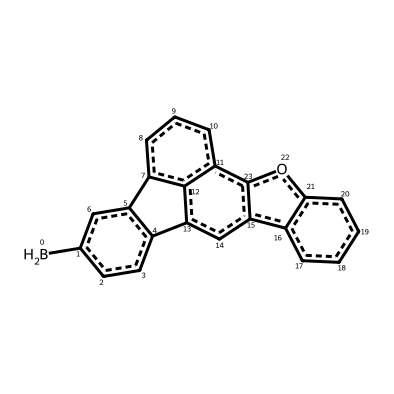 Bc1ccc2c(c1)-c1cccc3c1c-2cc1c2ccccc2oc31